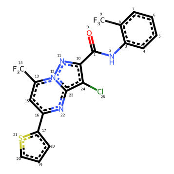 O=C(Nc1ccccc1C(F)(F)F)c1nn2c(C(F)(F)F)cc(-c3cccs3)nc2c1Cl